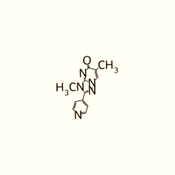 Cc1cn2nc(-c3ccncc3)n(C)c2nc1=O